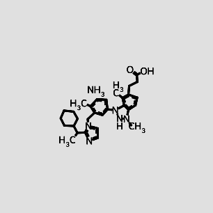 Cc1ccc(N2NN(C)c3ccc(CCC(=O)O)c(C)c32)cc1Cn1ccnc1C(C)C1CCCCC1.N